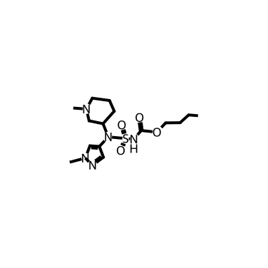 CCCCOC(=O)NS(=O)(=O)N(c1cnn(C)c1)C1CCCN(C)C1